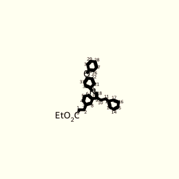 CCOC(=O)CCc1ccc2c(c1)c(CCc1ccccc1)cn2-c1ccc(Oc2ccccc2)cc1